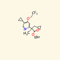 CC(C)(C)OC(=O)C(C)(CC1CC1)c1cc(OCC(F)(F)F)c(C2CC2)cn1